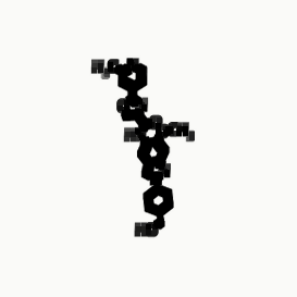 COc1cc2nn([C@H]3CC[C@H](CO)CC3)cc2cc1NC(=O)c1coc(-c2ccnc(C)c2)n1